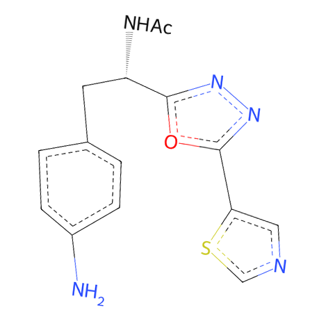 CC(=O)N[C@@H](Cc1ccc(N)cc1)c1nnc(-c2cncs2)o1